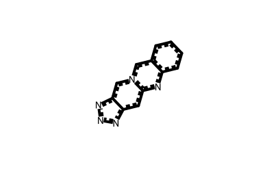 c1ccc2nc3cc4nnnc-4cn3cc2c1